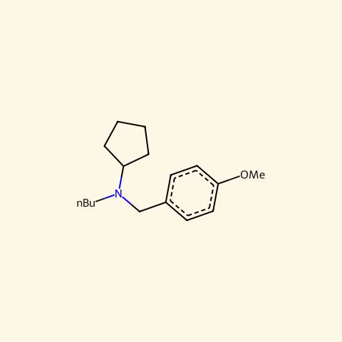 CCCCN(Cc1ccc(OC)cc1)C1CCCC1